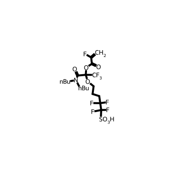 C=C(F)C(=O)OC(OCCCC(F)(F)C(F)(F)S(=O)(=O)O)(C(=O)N(CCCC)CCCC)C(F)(F)F